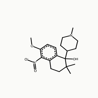 COc1ccc2c(c1[N+](=O)[O-])CCC(C)(C)C2(O)C1CCN(C)CC1